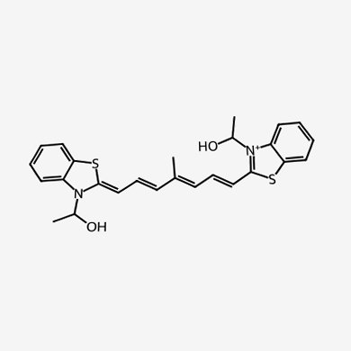 CC(/C=C/C=C1\Sc2ccccc2N1C(C)O)=C\C=C\c1sc2ccccc2[n+]1C(C)O